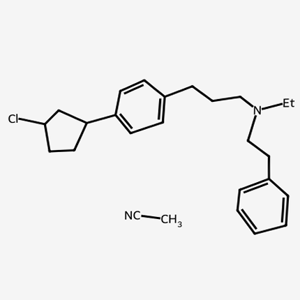 CC#N.CCN(CCCc1ccc(C2CCC(Cl)C2)cc1)CCc1ccccc1